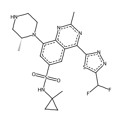 Cc1nc(-c2nnc(C(F)F)s2)c2cc(S(=O)(=O)NC3(C)CC3)cc(N3CCNC[C@H]3C)c2n1